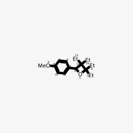 CCC1(CC)OC(c2ccc(OC)cc2)C1(CC)CC